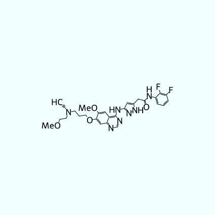 C#CN(CCCOc1cc2ncnc(Nc3cc(CC(=O)Nc4cccc(F)c4F)[nH]n3)c2cc1OC)CCOC